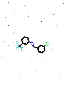 FC(F)(F)c1cccc(N=Cc2[c]ccc(Cl)c2)c1